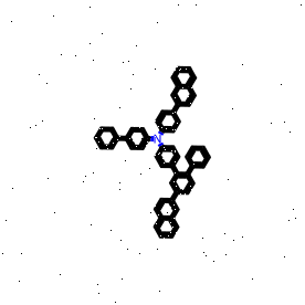 C1=CCCC(C2=CC=C(N(C3=CCC(c4ccc5ccccc5c4)C=C3)c3ccc(-c4cc(-c5ccc6ccccc6c5)ccc4-c4ccccc4)cc3)CC2)=C1